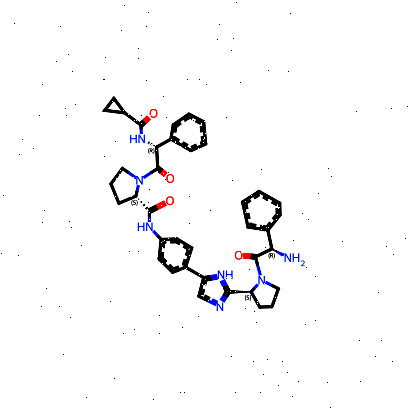 N[C@@H](C(=O)N1CCC[C@H]1c1ncc(-c2ccc(NC(=O)[C@@H]3CCCN3C(=O)[C@H](NC(=O)C3CC3)c3ccccc3)cc2)[nH]1)c1ccccc1